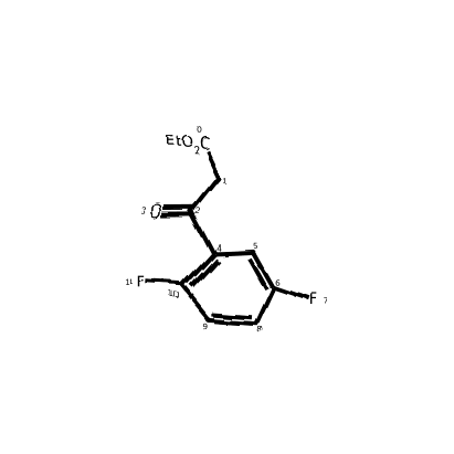 CCOC(=O)CC(=O)c1cc(F)ccc1F